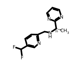 C[C@H](NCc1ccc(C(F)F)cn1)c1ncccn1